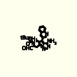 CC(C)(C)OC(=O)N[C@@H](C=O)Cc1c(I)c(-c2cnc3ccccc3c2)c2c(N)ncnn12